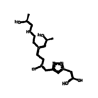 CCN(CCN(CCNC[C@H](C)O)C[C@H](C)O)Cc1cn(CC(O)O)nn1